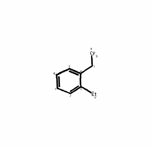 [CH2]Cc1ccccc1CC(F)(F)F